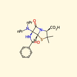 CCCN(CCC)[C@]1(NC(=O)c2ccccc2)C(=O)N2[C@@H](C(=O)O)C(C)(C)S[C@@H]21